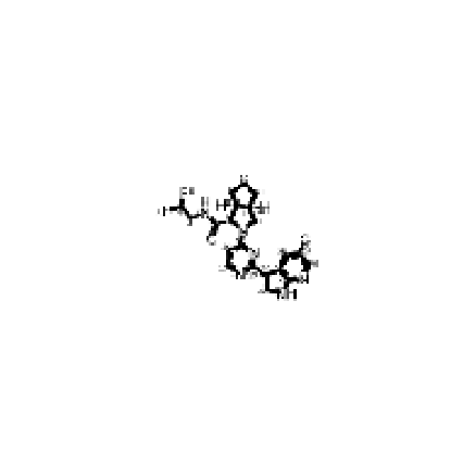 O=C(NCC(F)F)[C@H]1[C@@H]2CCC[C@@H]2CN1c1ccnc(C2CNc3ncc(Cl)cc32)n1